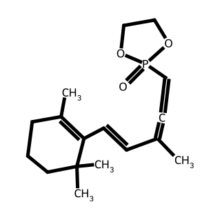 CC(=C=CP1(=O)OCCO1)C=CC1=C(C)CCCC1(C)C